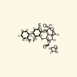 CS(=O)(=O)N[C@@H]1[C@H](Cc2cc(F)cc(-c3ccccc3F)c2F)N(C(=O)[C@H]2CCO2)CC12CC2